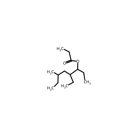 CCC(=O)OC(CC)C(CC)CC(C)CC